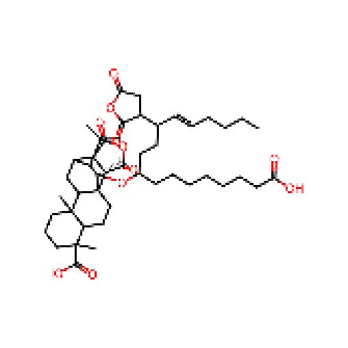 CCCC/C=C/C(CCC(CCCCCCCC(=O)O)O[C@@H]1C(C(C)C)C2CC3C4(C)CCCC(C)(C(=O)O)C4CCC31C1C(=O)OC(=O)C21)C1CC(=O)OC1=O